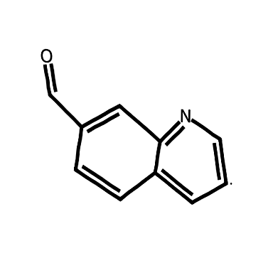 O=Cc1ccc2c[c]cnc2c1